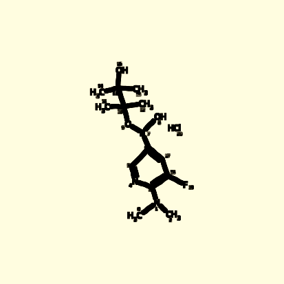 CN(C)c1ncc(B(O)OC(C)(C)C(C)(C)O)cc1F.Cl